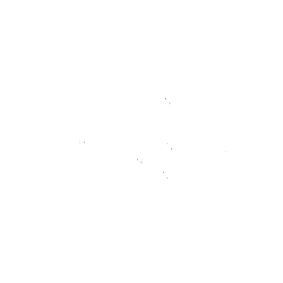 Cc1cc2nc(N3CCC(C(=O)NC4CCCC4)CC3)n(Cc3ccccn3)c2cc1C